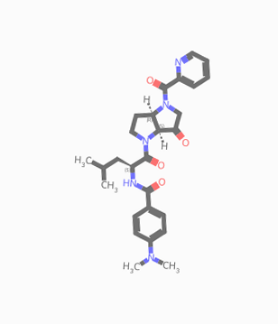 CC(C)C[C@H](NC(=O)c1ccc(N(C)C)cc1)C(=O)N1CC[C@@H]2[C@H]1C(=O)CN2C(=O)c1ccccn1